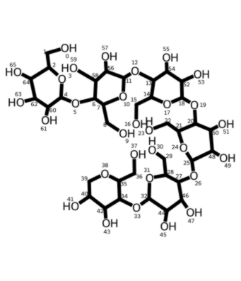 OCC1OC(OC2C(CO)OC(OC3C(CO)OC(OC4C(CO)OC(OC5C(CO)OC(OC6C(CO)OCC(O)C6O)C(O)C5O)C(O)C4O)C(O)C3O)C(O)C2O)C(O)C(O)C1O